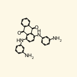 Nc1cccc(Nc2ccc(Nc3cccc(N)c3)c3c2C(=O)c2ccccc2C3=O)c1